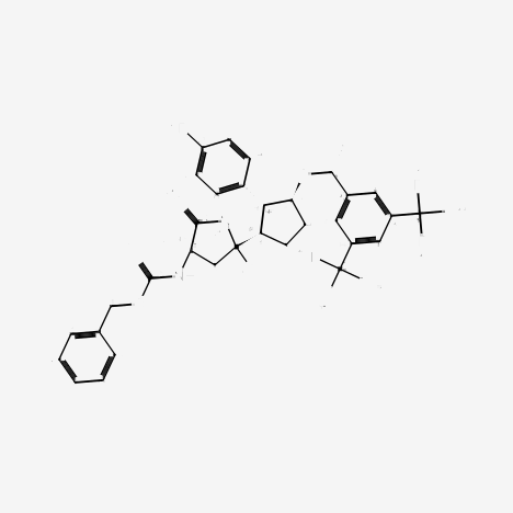 C[C@@H](O[C@H]1CC[C@@H](C2(O)C[C@@](C)(NC(=O)OCc3ccccc3)C(=O)N2)[C@@H]1c1ccc(F)cc1)c1cc(C(F)(F)F)cc(C(F)(F)F)c1